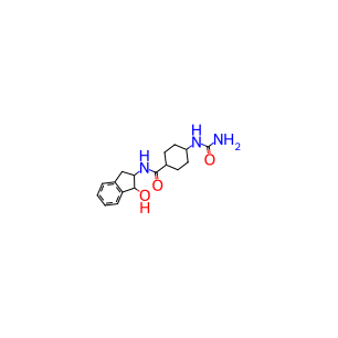 NC(=O)NC1CCC(C(=O)NC2Cc3ccccc3C2O)CC1